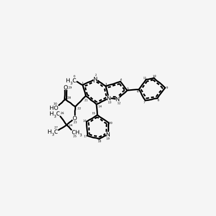 Cc1nc2cc(-c3ccccc3)nn2c(-c2cccnc2)c1C(OC(C)(C)C)C(=O)O